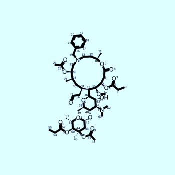 CCC(=O)O[C@@H]1CC(=O)O[C@H](C)CCN(Cc2ccccc2)C[C@H](OC(C)=O)[C@H](C)C[C@H](CC=O)[C@H]([C@@H]2O[C@H](C)[C@@H](O[C@@H]3C[C@@](C)(OC(C)=O)[C@@H](OC(=O)CC)[C@H](C)O3)[C@H](N(C)C)[C@H]2O)[C@@H]1OC